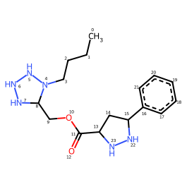 CCCCN1NNNC1COC(=O)C1CC(c2ccccc2)NN1